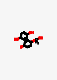 CO.O=C1C=CC(=O)C=C1.Oc1ccc(O)cc1